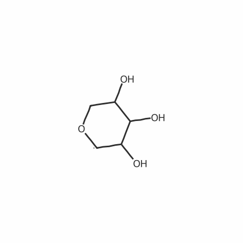 OC1[CH]OCC(O)C1O